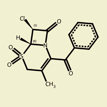 CC1=C(C(=O)c2ccccc2)N2C(=O)[C@H](Cl)[C@H]2S(=O)(=O)C1